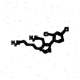 NCCCCn1cnc(-c2ccc(Cl)cc2Cl)c1CN